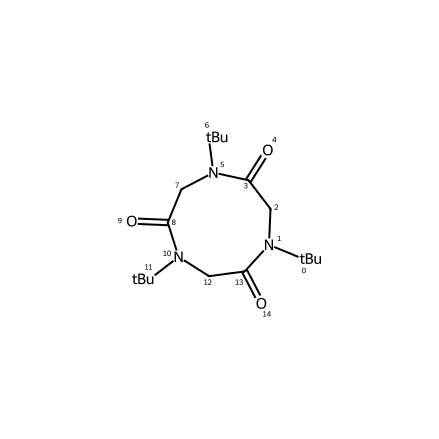 CC(C)(C)N1CC(=O)N(C(C)(C)C)CC(=O)N(C(C)(C)C)CC1=O